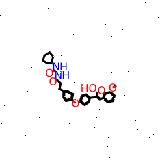 COc1cccc(C=C(C(=O)O)c2ccc(Oc3ccc(CCC(=O)NC(=O)NC4CCCCC4)cc3)cc2)c1